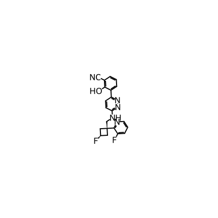 N#Cc1cccc(-c2ccc(NC[C@]3(c4ncccc4F)C[C@H](F)C3)nn2)c1O